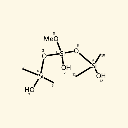 CO[Si](O)(O[Si](C)(C)O)O[Si](C)(C)O